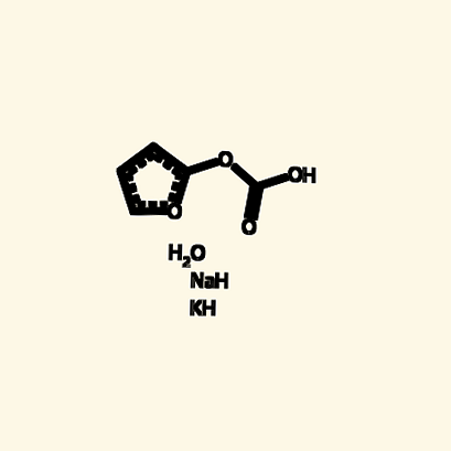 O.O=C(O)Oc1ccco1.[KH].[NaH]